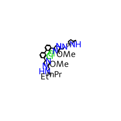 C=C1CC[C@@H](CNCc2ncc(-c3cccc(-c4cccc(-c5cnc(CN[C@H](CC)CCC)c(OC)n5)c4Cl)c3Cl)nc2OC)N1